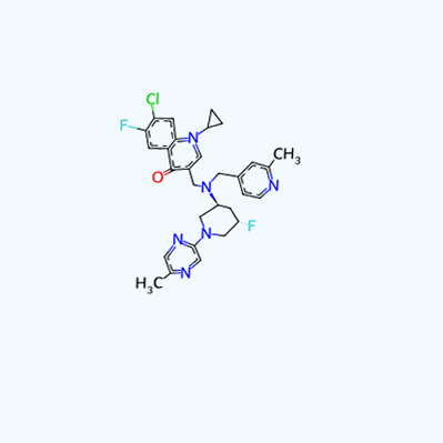 Cc1cnc(N2C[C@@H](F)C[C@H](N(Cc3ccnc(C)c3)Cc3cn(C4CC4)c4cc(Cl)c(F)cc4c3=O)C2)cn1